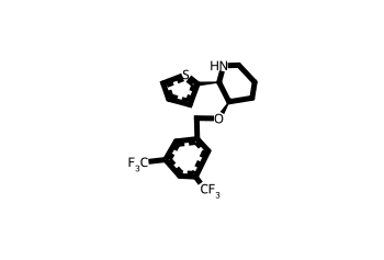 FC(F)(F)c1cc(CO[C@@H]2CCCN[C@@H]2c2cccs2)cc(C(F)(F)F)c1